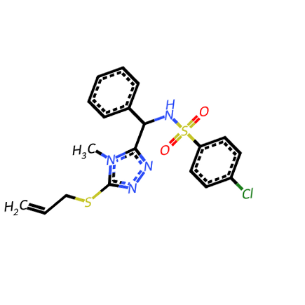 C=CCSc1nnc(C(NS(=O)(=O)c2ccc(Cl)cc2)c2ccccc2)n1C